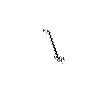 CC(C)C(=O)CCCCCCCCCCCCCCCN